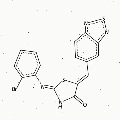 O=C1N/C(=N/c2ccccc2Br)S/C1=C\c1ccc2nsnc2c1